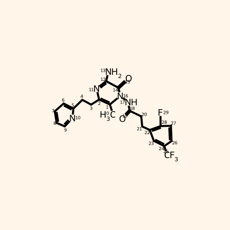 Cc1c(CCc2ccccn2)nc(N)c(=O)n1NC(=O)CCc1cc(C(F)(F)F)ccc1F